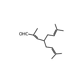 CC(C)=CCC(/C=C(\C)C=O)CC=C(C)C